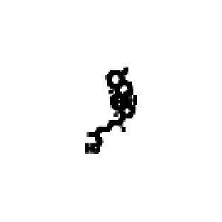 CC(CO)CCC[C@@H](C)[C@H]1CC[C@H]2C3=CCC4C(C)CCC[C@]4(C)[C@H]3CC[C@]12C